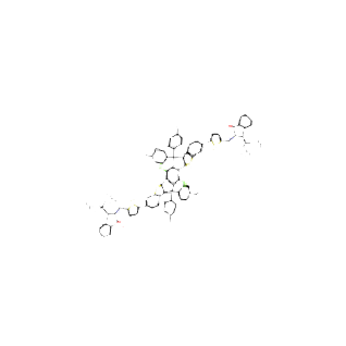 Cc1ccc(C2(c3ccc(C)cc3)c3c(F)c4c(c(F)c3-c3sc5cc(-c6ccc(/C=C7\C(=O)c8ccccc8C7=C(C#N)C#N)s6)ccc5c32)C(c2ccc(C)cc2)(c2ccc(C)cc2)c2c-4sc3cc(-c4ccc(/C=C5\C(=O)c6ccccc6C5=C(C#N)C#N)s4)ccc23)cc1